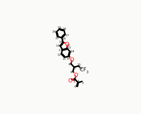 C=C(C)C(=O)OCC(COc1ccc2cc(-c3ccccc3)oc2c1)CC(F)(F)F